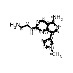 Cn1cc(-c2cnc(N)c3cnc(NCCN)nc23)cn1